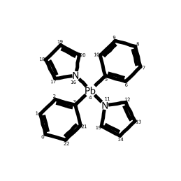 c1cc[c]([Pb]([c]2ccccc2)([n]2cccc2)[n]2cccc2)cc1